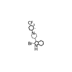 FC(F)(F)c1c[c]c(N2CCC(c3c(Br)[nH]c4ccccc34)CC2)cc1